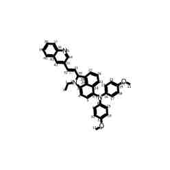 CCN1c2ccc(N(c3ccc(OC)cc3)c3ccc(OC)cc3)c3cccc(c23)C1/C=C/c1cnc2ccccc2c1